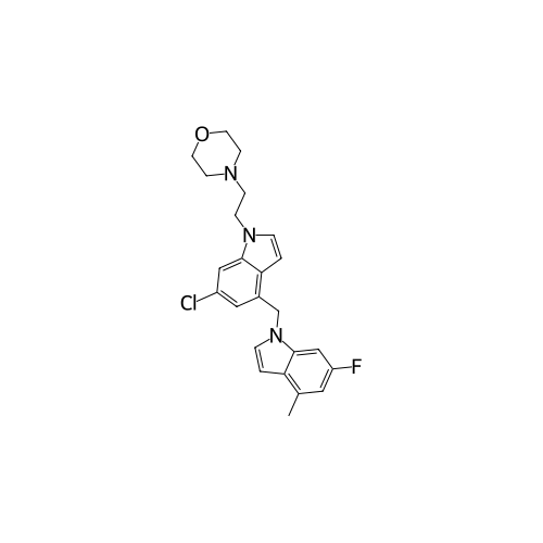 Cc1cc(F)cc2c1ccn2Cc1cc(Cl)cc2c1ccn2CCN1CCOCC1